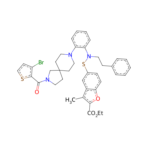 CCOC(=O)c1oc2ccc(SN(CCc3ccccc3)c3ccccc3N3CCC4(CCN(C(=O)c5sccc5Br)C4)CC3)cc2c1C